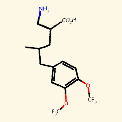 CC(Cc1ccc(OC(F)(F)F)c(OC(F)(F)F)c1)CC(CN)C(=O)O